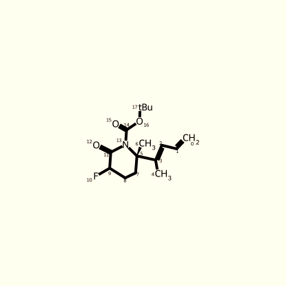 C=C/C=C(\C)[C@]1(C)CCC(F)C(=O)N1C(=O)OC(C)(C)C